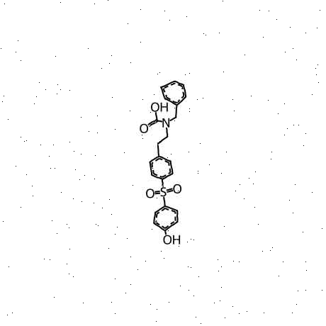 O=C(O)N(CCc1ccc(S(=O)(=O)c2ccc(O)cc2)cc1)Cc1ccccc1